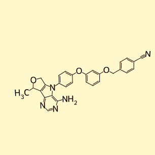 CC1OCc2c1c1ncnc(N)c1n2-c1ccc(Oc2cccc(OCc3ccc(C#N)cc3)c2)cc1